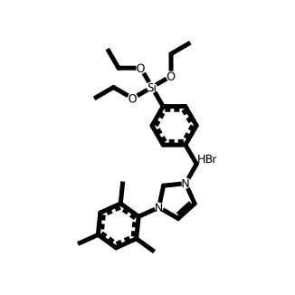 Br.CCO[Si](OCC)(OCC)c1ccc(CN2C=CN(c3c(C)cc(C)cc3C)C2)cc1